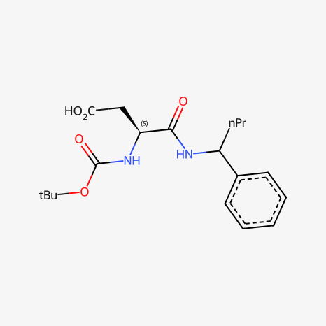 CCCC(NC(=O)[C@H](CC(=O)O)NC(=O)OC(C)(C)C)c1ccccc1